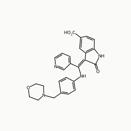 O=C1Nc2ccc(C(=O)O)cc2C1=C(Nc1ccc(CN2CCOCC2)cc1)c1cccnc1